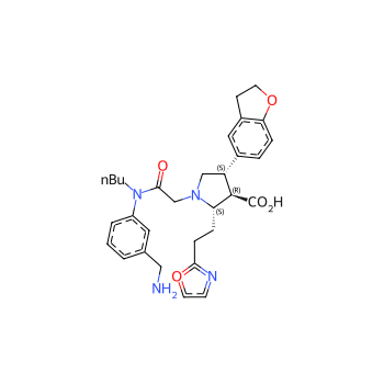 CCCCN(C(=O)CN1C[C@H](c2ccc3c(c2)CCO3)[C@@H](C(=O)O)[C@@H]1CCc1ncco1)c1cccc(CN)c1